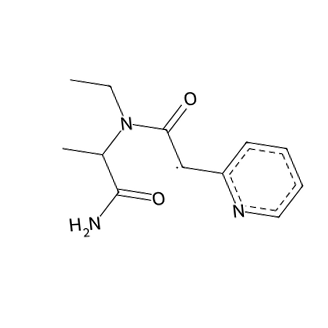 CCN(C(=O)[CH]c1ccccn1)C(C)C(N)=O